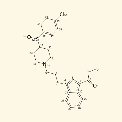 CCC(=O)c1cn(CCCN2CCC([S+]([O-])C3=CC=C(Cl)CC3)CC2)c2ccccc12